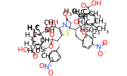 C[SiH](OC(O[SiH](C)C(C)(C)C)(c1cccc(C(=O)O)c1)[C@@H](Cc1ccc([N+](=O)[O-])cc1)C12CC(=O)N1C(C(=O)O)=C([C@H](Cc1ccc([N+](=O)[O-])cc1)C(O[SiH](C)C(C)(C)C)(O[SiH](C)C(C)(C)C)c1cccc(C(=O)O)c1)S2)C(C)(C)C